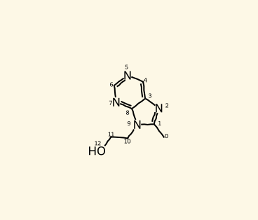 Cc1nc2cncnc2n1CCO